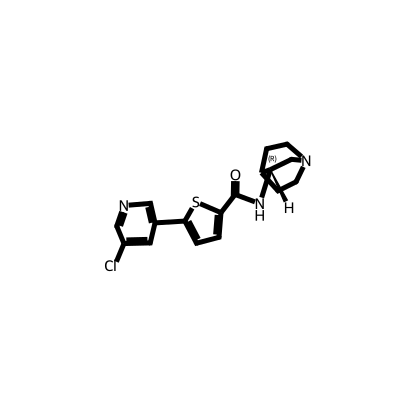 O=C(N[C@H]1CN2CCC1CC2)c1ccc(-c2cncc(Cl)c2)s1